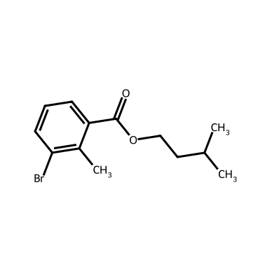 Cc1c(Br)cccc1C(=O)OCCC(C)C